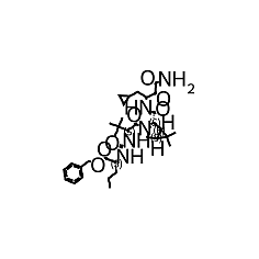 CCC[C@H](NC(=O)N[C@H](C(=O)N1C[C@H]2[C@@H]([C@H]1C(=O)NC(CC1CC1)C(=O)C(N)=O)C2(C)C)C(C)(C)C)C(=O)OCc1ccccc1